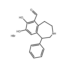 Br.O=Cc1c(O)c(O)cc2c1CCNCC2c1ccccc1